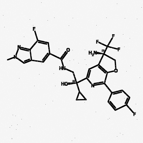 Cn1cc2cc(C(=O)NC[C@](O)(c3cc4c(c(-c5ccc(F)cc5)n3)OC[C@@]4(N)C(F)(F)F)C3CC3)cc(F)c2n1